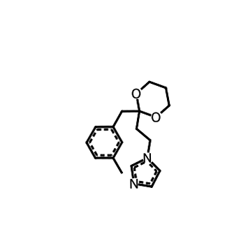 Cc1cccc(CC2(CCn3ccnc3)OCCCO2)c1